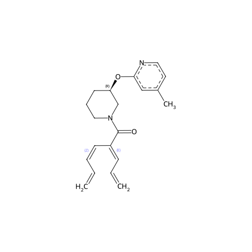 C=C/C=C\C(=C/C=C)C(=O)N1CCC[C@@H](Oc2cc(C)ccn2)C1